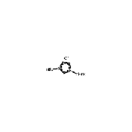 CCCCCCn1cc[n+](CCCC)c1.[Cl-]